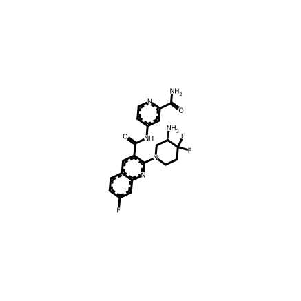 NC(=O)c1cc(NC(=O)c2cc3ccc(F)cc3nc2N2CCC(F)(F)[C@H](N)C2)ccn1